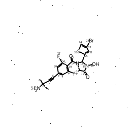 CC(C)(N)C#Cc1cc(F)c(C(=O)N2CC(=O)N(O)C2c2cc(Br)cs2)c(F)c1